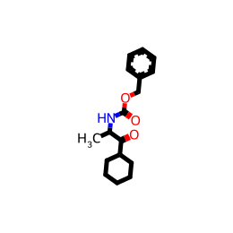 CC(NC(=O)OCc1ccccc1)C(=O)C1CCCCC1